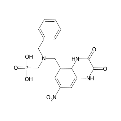 O=c1[nH]c2cc([N+](=O)[O-])cc(CN(Cc3ccccc3)CP(=O)(O)O)c2[nH]c1=O